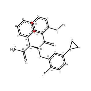 COc1ccccc1C(=O)N(Cc1cc(C2CC2)ccc1F)[C@@H](C(N)=O)c1ccccc1